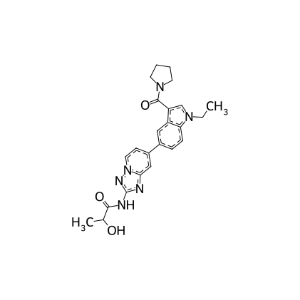 CCn1cc(C(=O)N2CCCC2)c2cc(-c3ccn4nc(NC(=O)C(C)O)nc4c3)ccc21